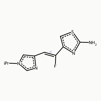 CC(C)n1cnc(/C=C(\F)c2csc(N)n2)c1